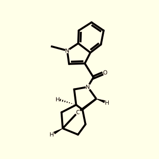 Cn1cc(C(=O)N2C[C@@H]3C[C@H]4CCC3[C@@H]2C4)c2ccccc21